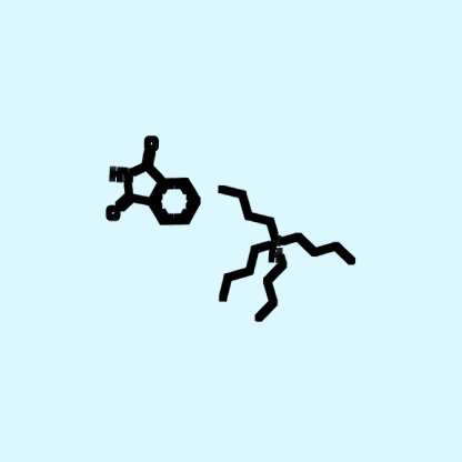 CCCC[PH](CCCC)(CCCC)CCCC.O=C1NC(=O)c2ccccc21